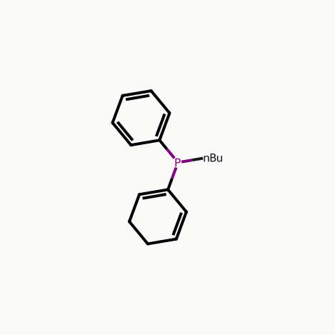 CCCCP(C1=CCCC=C1)c1ccccc1